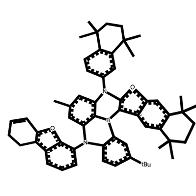 Cc1cc2c3c(c1)N(c1cccc4c5c(oc14)C=CCC5)c1ccc(C(C)(C)C)cc1B3c1c(oc3cc4c(cc13)C(C)(C)CCC4(C)C)N2c1ccc2c(c1)C(C)(C)CCC2(C)C